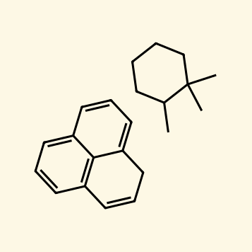 C1=Cc2cccc3cccc(c23)C1.CC1CCCCC1(C)C